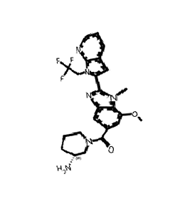 COc1cc(C(=O)N2CCC[C@@H](N)C2)cc2nc(-c3cc4cccnc4n3CC(F)(F)F)n(C)c12